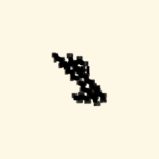 CCCCN(CCCC)C(C)C(CC)CNCCCCNCC(CC)C(C)N(CCCC)CCCC